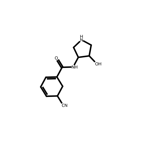 N#CC1C=CC=C(C(=O)NC2CNCC2O)C1